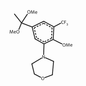 COc1c(N2CCOCC2)cc(C(C)(OC)OC)cc1C(F)(F)F